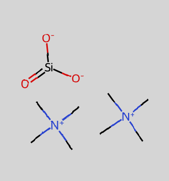 C[N+](C)(C)C.C[N+](C)(C)C.O=[Si]([O-])[O-]